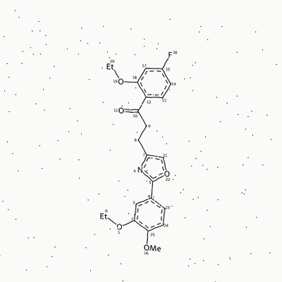 CCOc1cc(-c2nc(CCC(=O)c3ccc(F)cc3OCC)co2)ccc1OC